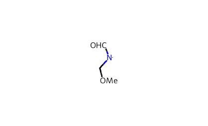 COC[N]C=O